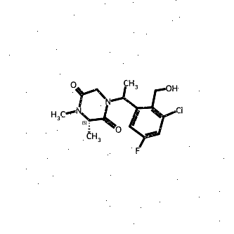 CC(c1cc(F)cc(Cl)c1CO)N1CC(=O)N(C)[C@@H](C)C1=O